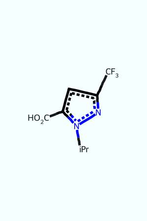 CC(C)n1nc(C(F)(F)F)cc1C(=O)O